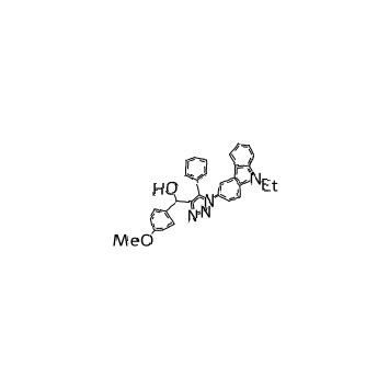 CCn1c2ccccc2c2cc(-n3nnc(C(O)c4ccc(OC)cc4)c3-c3ccccc3)ccc21